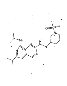 CC(C)Nc1nc(C(C)C)cc2cnc(NCC3CCCN(S(C)(=O)=O)C3)nc12